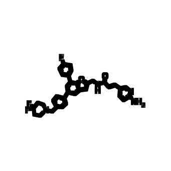 Nc1ccc(/C=C/C(=O)NCc2cc3cc(-c4ccc(CN5CCC(F)(F)CC5)cc4)cc(-c4ccc(F)cc4)c3o2)cn1